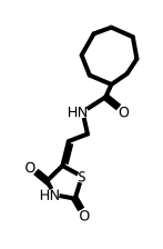 O=C1NC(=O)/C(=C/CNC(=O)C2CCCCCCC2)S1